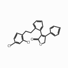 O=C1OCC(c2ccccc2)=C1c1ccccc1CCc1ccc(Cl)cc1Cl